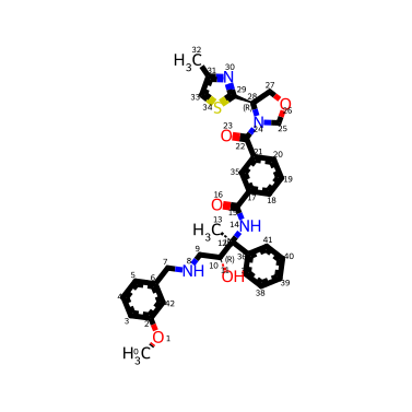 COc1cccc(CNC[C@@H](O)[C@@](C)(NC(=O)c2cccc(C(=O)N3COC[C@@H]3c3nc(C)cs3)c2)c2ccccc2)c1